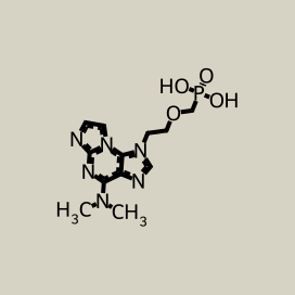 CN(C)c1nc2nccn2c2c1ncn2CCOCP(=O)(O)O